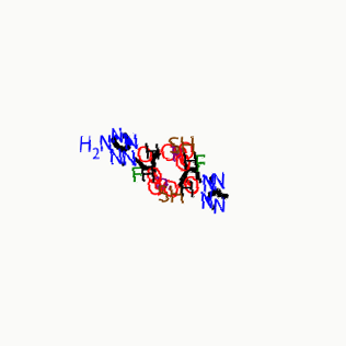 Cc1ncnc2c1ncn2[C@@H]1O[C@@H]2CO[P@@](=O)(S)O[C@H]3[C@H](F)[C@H](n4cnc5c(N)ncnc54)O[C@@H]3CO[P@@](=O)(S)O[C@H]2[C@@H]1F